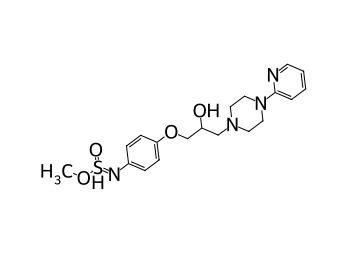 CO[SH](=O)=Nc1ccc(OCC(O)CN2CCN(c3ccccn3)CC2)cc1